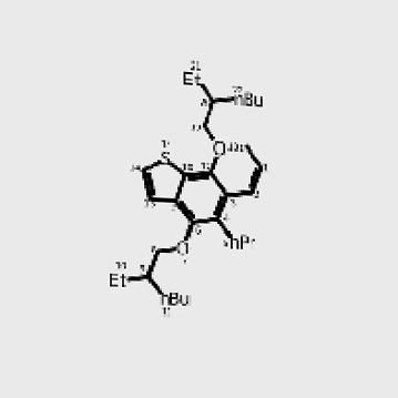 C/C=C\c1c(CCC)c(OCC(CC)CCCC)c2ccsc2c1OCC(CC)CCCC